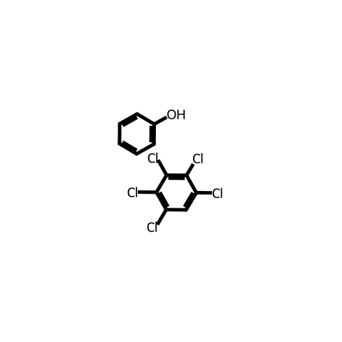 Clc1cc(Cl)c(Cl)c(Cl)c1Cl.Oc1ccccc1